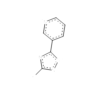 Cc1nsc(-c2cccnc2)n1